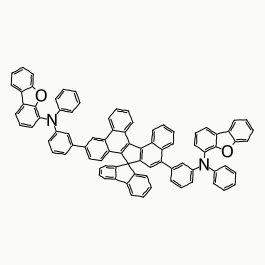 c1ccc(N(c2cccc(-c3ccc4c5c(c6ccccc6c4c3)-c3c(cc(-c4cccc(N(c6ccccc6)c6cccc7c6oc6ccccc67)c4)c4ccccc34)C53c4ccccc4-c4ccccc43)c2)c2cccc3c2oc2ccccc23)cc1